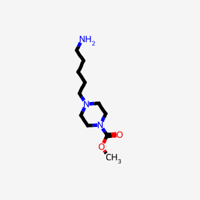 COC(=O)N1CCN(CCCCCN)CC1